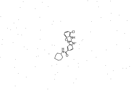 Cn1c(Nc2c(Cl)cccc2Cl)nc2cc(C(=O)NC3CCCCCC3)ccc21